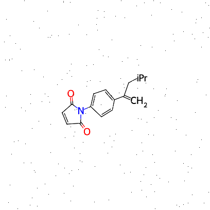 C=C(CC(C)C)c1ccc(N2C(=O)C=CC2=O)cc1